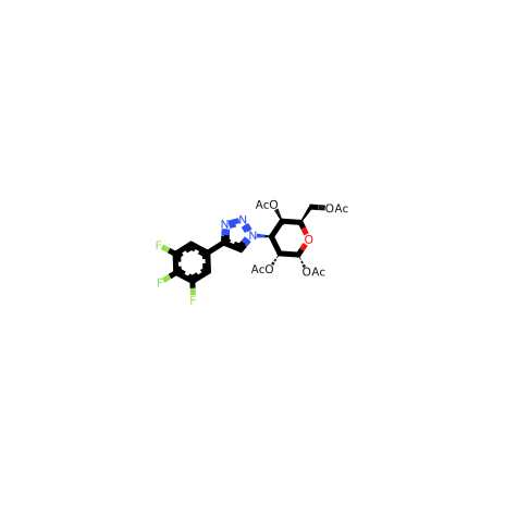 CC(=O)OC[C@H]1O[C@H](OC(C)=O)[C@H](OC(C)=O)[C@@H](n2cc(-c3cc(F)c(F)c(F)c3)nn2)[C@H]1OC(C)=O